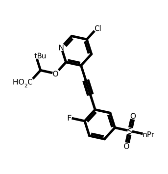 CCCS(=O)(=O)c1ccc(F)c(C#Cc2cc(Cl)cnc2OC(C(=O)O)C(C)(C)C)c1